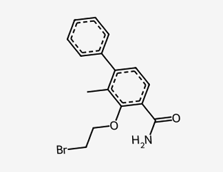 Cc1c(-c2ccccc2)ccc(C(N)=O)c1OCCBr